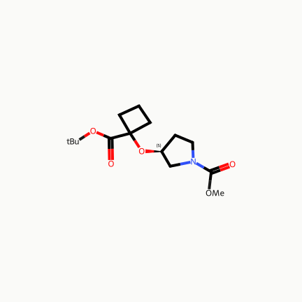 COC(=O)N1CC[C@H](OC2(C(=O)OC(C)(C)C)CCC2)C1